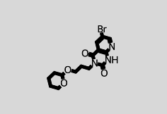 O=c1[nH]c2ncc(Br)cc2c(=O)n1CCCOC1CCCCO1